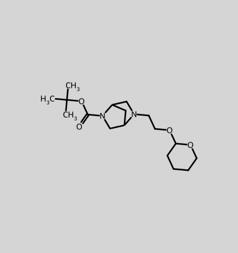 CC(C)(C)OC(=O)N1CC2CC1CN2CCOC1CCCCO1